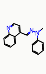 CN(/N=C/c1ccnc2ccccc12)c1ccccc1